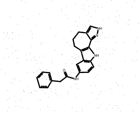 O=C(Cc1ccccc1)Nc1ccc2[nH]c3c(c2c1)CCCc1c[nH]nc1-3